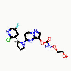 O=C(NOCCO)Oc1cnn2ccc(N3CCC[C@@H]3c3cc(F)cnc3Cl)nc12